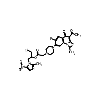 CC(=O)c1c2n(c3cc(N4CCN(CC(=O)OC(CCl)Cn5c([N+](=O)[O-])cnc5C)CC4)c(F)cc3c1=O)C(C)S2